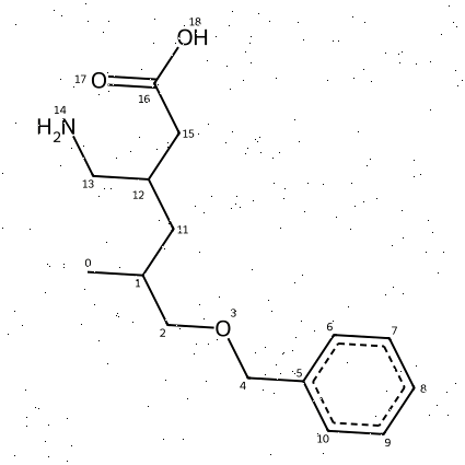 CC(COCc1ccccc1)CC(CN)CC(=O)O